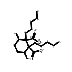 CCCCCC1(C(=O)O)C(C)CCC(C)C1(CCCCC)C(=O)O